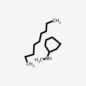 CCCCCCCCC.CNC1CCCCC1